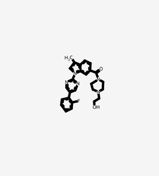 Cc1cn(-c2ncc(-c3ccccc3F)cn2)c2cc(C(=O)N3CCN(CCO)CC3)ccc12